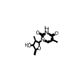 C=C1OC(n2cc(C)c(=O)[nH]c2=O)C(C)C1O